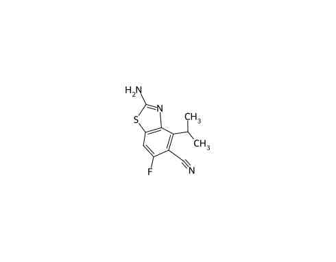 CC(C)c1c(C#N)c(F)cc2sc(N)nc12